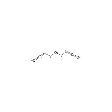 O=C=CCOCC=C=O